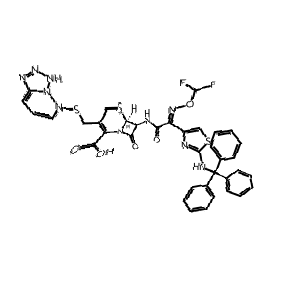 O=C(O)C1=C(CSN2C=CC=C3N=NNN32)CS[C@H]2C(NC(=O)C(=NOC(F)F)c3csc(NC(c4ccccc4)(c4ccccc4)c4ccccc4)n3)C(=O)N12